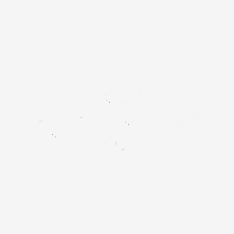 C1=C(c2nc(Cc3ccccc3)no2)CNCC1.Cl